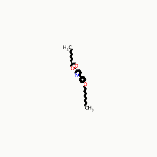 CCCCCCCCCCOc1ccc(-c2ccc([C@H]3OC[C@H](CCCCCCC)CO3)cn2)cc1